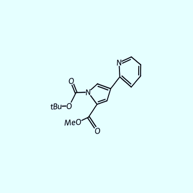 COC(=O)c1cc(-c2ccccn2)cn1C(=O)OC(C)(C)C